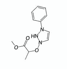 COC(=O)C(C)ON1C=CN(c2ccccc2)N1